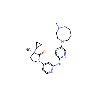 CN1CCCCN(c2ccc(Nc3cc(N4CC[C@@](C#N)(C5CC5)C4=O)ccn3)nc2)CC1